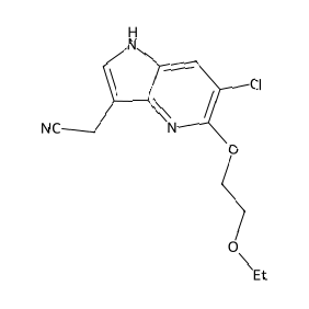 CCOCCOc1nc2c(CC#N)c[nH]c2cc1Cl